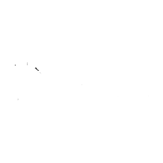 C=CCCC[C@H](C)C=O